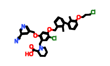 Cc1c(COc2cc(OCc3cncc(C#N)c3)c(CN3CCCCC3C(=O)O)cc2Cl)cccc1-c1cccc(OCCCCl)c1C